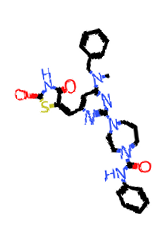 CN(Cc1ccccc1)c1cc(C=C2SC(=O)NC2=O)nc(N2CCCN(C(=O)Nc3ccccc3)CC2)n1